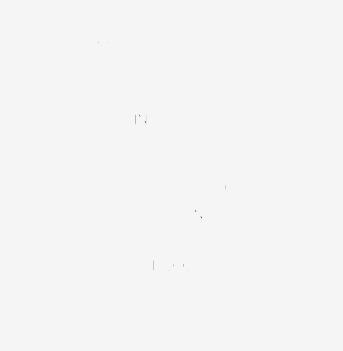 O=C(Nc1scc(C2CC2)c1C(=O)O)c1ccc(NCC2CCOCC2)cc1